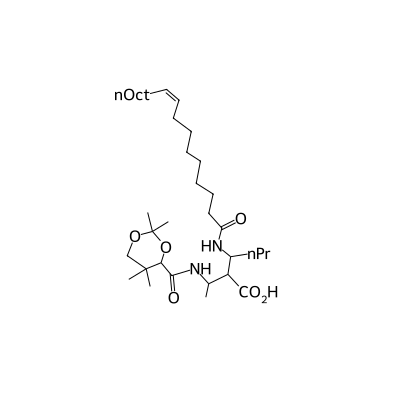 CCCCCCCC/C=C\CCCCCCCC(=O)NC(CCC)C(C(=O)O)C(C)NC(=O)C1OC(C)(C)OCC1(C)C